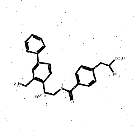 CC(C)[C@@H](CNC(=O)c1ccc(CC(N)C(=O)O)cc1)c1ccc(-c2ccccc2)cc1CN